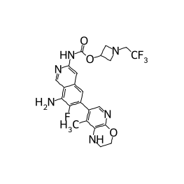 Cc1c(-c2cc3cc(NC(=O)OC4CN(CC(F)(F)F)C4)ncc3c(N)c2F)cnc2c1NCCO2